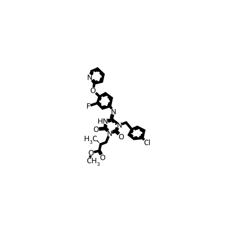 COC(=O)[C@H](C)Cn1c(=O)[nH]/c(=N\c2ccc(Oc3ccccn3)c(F)c2)n(Cc2ccc(Cl)cc2)c1=O